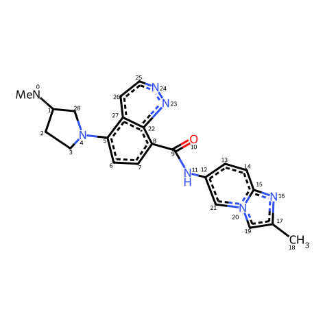 CNC1CCN(c2ccc(C(=O)Nc3ccc4nc(C)cn4c3)c3nnccc23)C1